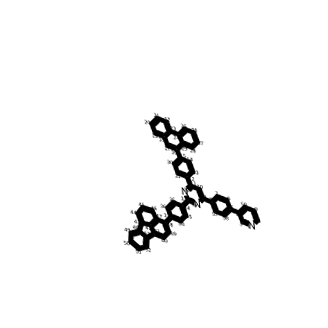 c1cncc(-c2ccc(-c3cc(-c4ccc(-c5cc6ccccc6c6ccccc56)cc4)nc(-c4ccc(-c5ccc6c7c(cccc57)-c5ccccc5-6)cc4)n3)cc2)c1